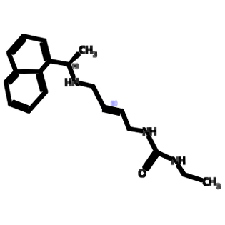 CCNC(=O)NC/C=C/CN[C@H](C)c1cccc2ccccc12